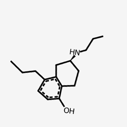 CCCN[C@H]1CCc2c(O)ccc(CCC)c2C1